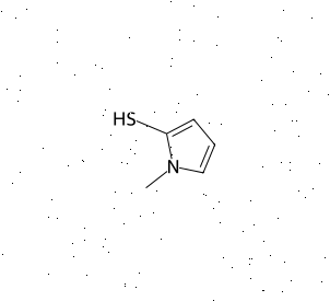 Cn1cccc1S